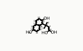 CC(C)(C=C(O)O)c1c(O)ccc2cc(O)ccc12